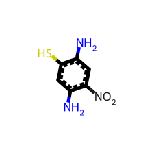 Nc1cc([N+](=O)[O-])c(N)cc1S